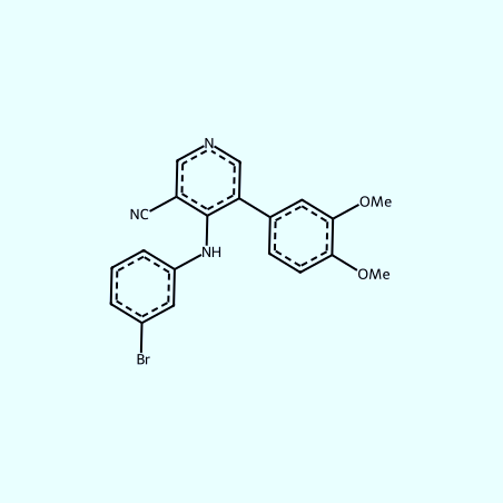 COc1ccc(-c2cncc(C#N)c2Nc2cccc(Br)c2)cc1OC